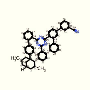 C[C@@H]1C[C@@H]2C[C@H](C)CC(c3ccc(-c4ccccc4-c4nc(-c5ccccc5)nc(-c5ccc(-c6cccc(C#N)c6)cc5-c5ccccc5)n4)cc3)(C1)C2